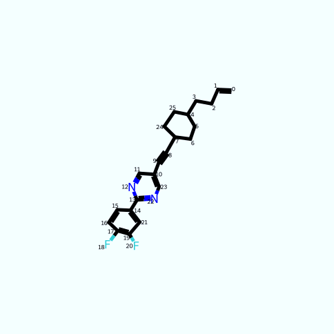 C=CCCC1CCC(C#Cc2cnc(-c3ccc(F)c(F)c3)nc2)CC1